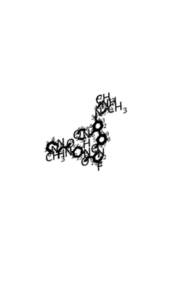 Cc1cccc2nc(C(=O)NC3CCC(NC(=O)c4cc(F)cnc4Oc4cccc(-c5ccc(CN6C[C@@H](C)N[C@@H](C)C6)cc5CN5CCOCC5)c4)CC3)cn12